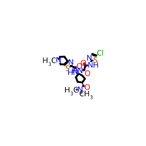 CN1CCc2nc(C(=O)N[C@]3(NC(=O)C(=O)Nc4ncc(Cl)s4)CC[C@H](C(=O)N(C)C)CC3)sc2C1